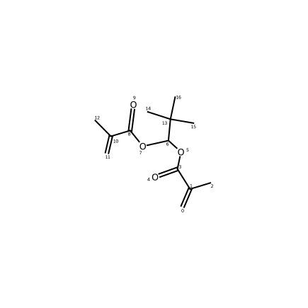 C=C(C)C(=O)OC(OC(=O)C(=C)C)C(C)(C)C